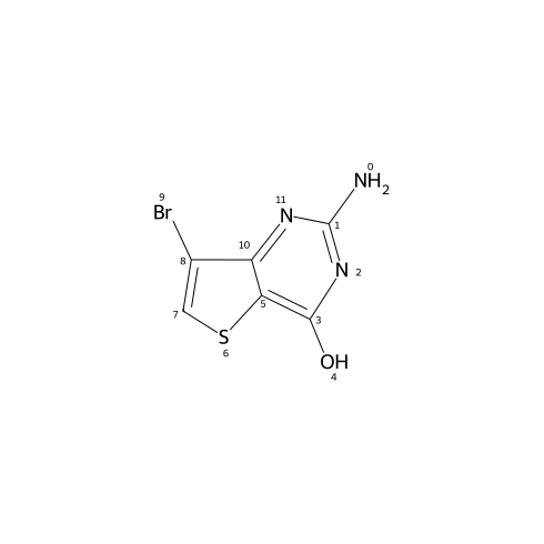 Nc1nc(O)c2scc(Br)c2n1